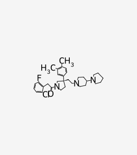 Cc1ccc([C@]2(CCN3CCC(N4CCCCC4)CC3)CCN(C(=O)Cc3c(F)cccc3Cl)C2)cc1C